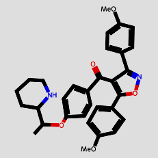 COc1ccc(-c2noc(-c3ccc(OC)cc3)c2C(=O)c2ccc(OC(C)C3CCCCN3)cc2)cc1